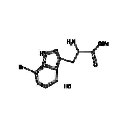 COC(=O)C(N)Cc1c[nH]c2c(Br)cccc12.Cl